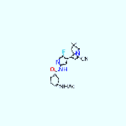 CC(=O)N[C@@H]1CCC[C@H](C(=O)Nc2cc(-c3cc(C#N)n4c3CC(C)(C)C4)c(F)cn2)C1